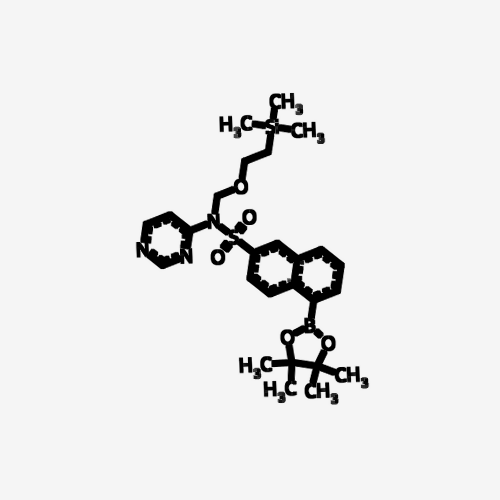 CC1(C)OB(c2cccc3cc(S(=O)(=O)N(COCC[Si](C)(C)C)c4ccncn4)ccc23)OC1(C)C